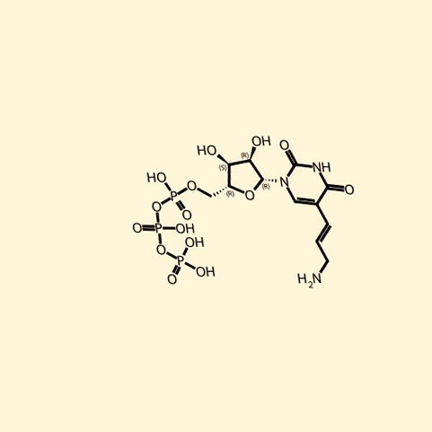 NCC=Cc1cn([C@@H]2O[C@H](COP(=O)(O)OP(=O)(O)OP(=O)(O)O)[C@@H](O)[C@H]2O)c(=O)[nH]c1=O